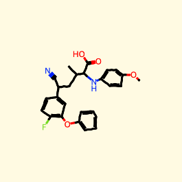 COc1ccc(NC(C(=O)O)C(C)CC(C#N)c2ccc(F)c(Oc3ccccc3)c2)cc1